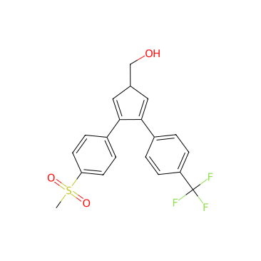 CS(=O)(=O)c1ccc(C2=CC(CO)C=C2c2ccc(C(F)(F)F)cc2)cc1